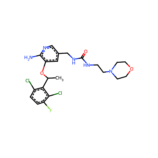 CC(Oc1cc(CNC(=O)NCCN2CCOCC2)cnc1N)c1c(Cl)ccc(F)c1Cl